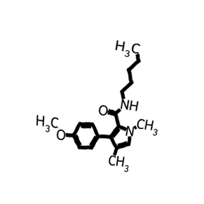 CCCCCNC(=O)c1c(-c2ccc(OC)cc2)c(C)cn1C